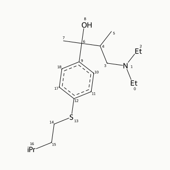 CCN(CC)CC(C)C(C)(O)c1ccc(SCCC(C)C)cc1